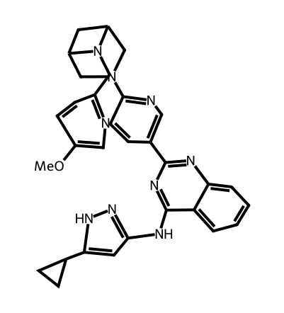 COc1ccc(CN2C3CC2CN(c2ccc(-c4nc(Nc5cc(C6CC6)[nH]n5)c5ccccc5n4)cn2)C3)nc1